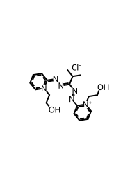 CC(C)C(N=Nc1cccc[n+]1CCO)=NN=c1ccccn1CCO.[Cl-]